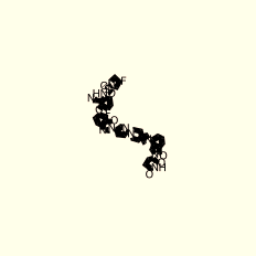 N#Cc1c(NS(=O)(=O)N2CC[C@@H](F)C2)ccc(F)c1Oc1ccc2ncn(-c3ccc(N4CCC5(CC4)CN(c4cccc6c4CN(C4CCC(=O)NC4=O)C6=O)C5)nc3)c(=O)c2c1